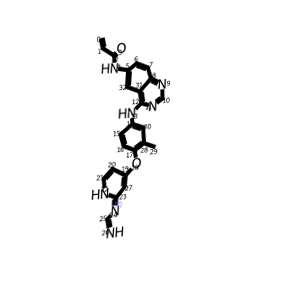 C=CC(=O)Nc1ccc2ncnc(Nc3ccc(Oc4cc[nH]/c(=N\C=N)c4)c(C)c3)c2c1